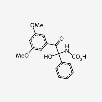 COc1cc(OC)cc(C(=O)C(O)(NC(=O)O)c2ccccc2)c1